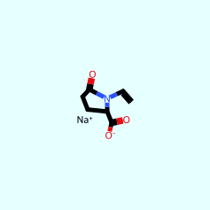 C=CN1C(=O)CCC1C(=O)[O-].[Na+]